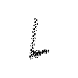 CCCCCCCCCCCCCCCCCCCC(COP(=O)(O)OCCC[N+](C)(C)C)CC(=O)CC